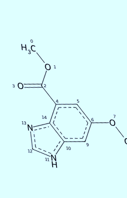 COC(=O)c1cc(OC)cc2[nH]cnc12